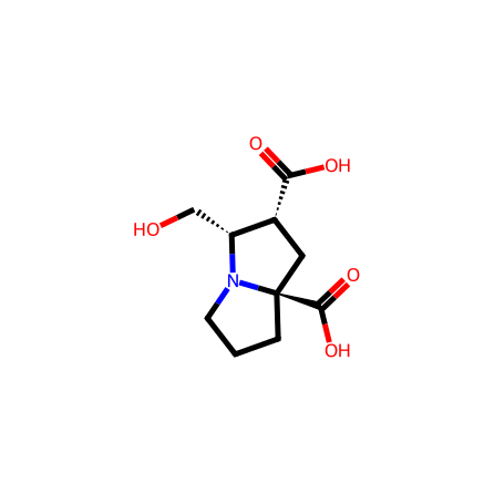 O=C(O)[C@@H]1C[C@]2(C(=O)O)CCCN2[C@@H]1CO